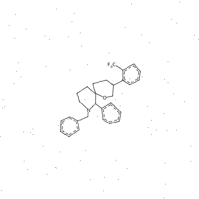 FC(F)(F)c1ccccc1C1CCC2(CCCN(Cc3ccccc3)C2c2ccccc2)OC1